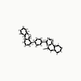 Cc1cc2ccccc2c2nnc(-c3ccc(-c4cccc5c4oc4ccccc45)cc3)n12